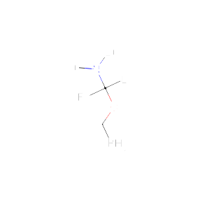 BCOC(CC)(CC)N(CC)CC